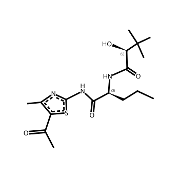 CCC[C@H](NC(=O)[C@@H](O)C(C)(C)C)C(=O)Nc1nc(C)c(C(C)=O)s1